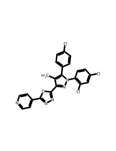 Cc1c(-c2nnc(-c3ccncc3)o2)nn(-c2ccc(Cl)cc2Cl)c1-c1ccc(Cl)cc1